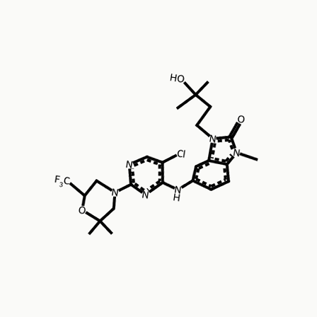 Cn1c(=O)n(CCC(C)(C)O)c2cc(Nc3nc(N4CC(C(F)(F)F)OC(C)(C)C4)ncc3Cl)ccc21